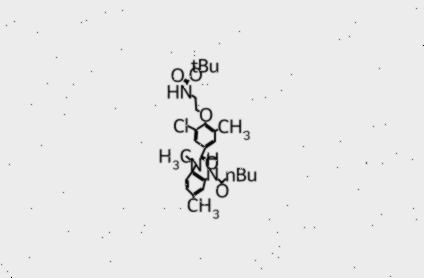 CCCCC(=O)Nc1cc(C)ccc1N(C)C(=O)c1cc(C)c(OCCNC(=O)OC(C)(C)C)c(Cl)c1